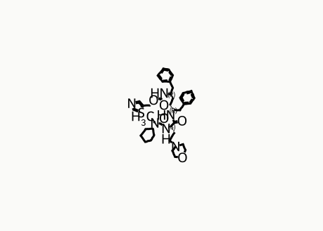 CN(C(=O)N[C@@H](CCN1CCOCC1)C(=O)N[C@H](CC[C@H](Cc1ccccc1)NC(=O)OCc1cncs1)Cc1ccccc1)C1CCCCC1